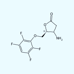 NC1CC(=O)O[C@@H]1COc1c(F)c(F)cc(F)c1F